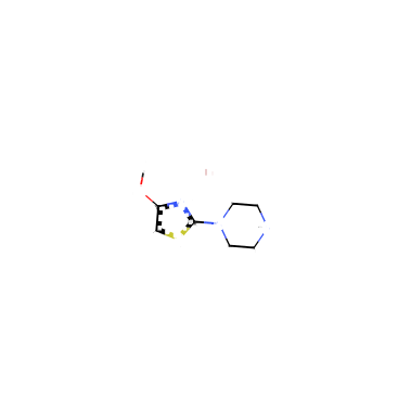 Br.CCOC(=O)Oc1csc(N2CCNCC2)n1